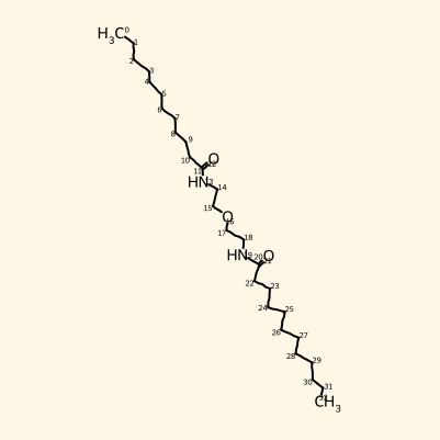 CCCCCCCCCCCC(=O)NCCOCCNC(=O)CCCCCCCCCCC